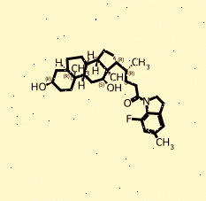 Cc1cc(F)c2c(c1)CCN2C(=O)CC[C@@H](C)[C@H]1CC[C@H]2[C@@H]3CC[C@@H]4C[C@H](O)CC[C@]4(C)[C@H]3C[C@H](O)[C@]12C